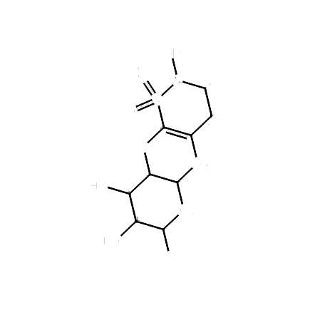 CC1OC2OC3=C(SC2C(O)C1O)S(=O)(=O)N(C(C)C)CC3